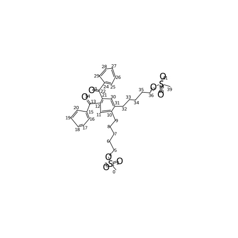 CS(=O)(=O)OCCCCCc1cc(C(=O)c2ccccc2)c(C(=O)c2ccccc2)cc1CCCCCOS(C)(=O)=O